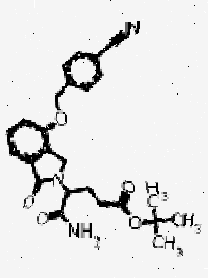 CC(C)(C)OC(=O)CCC(C(N)=O)N1Cc2c(OCc3ccc(C#N)cc3)cccc2C1=O